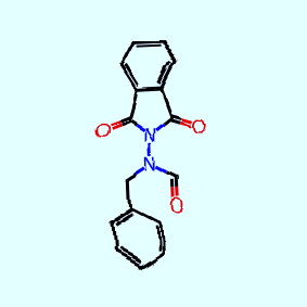 O=CN(Cc1ccccc1)N1C(=O)c2ccccc2C1=O